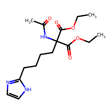 CCOC(=O)C(CCCCc1ncc[nH]1)(NC(C)=O)C(=O)OCC